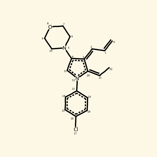 C=C/C=c1/c(N2CCOCC2)cn(-c2ccc(Cl)cc2)/c1=C/C